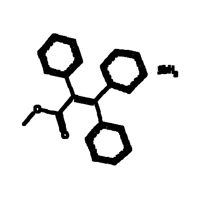 COC(=O)C(=C(c1ccccc1)c1ccccc1)c1ccccc1.[SbH3]